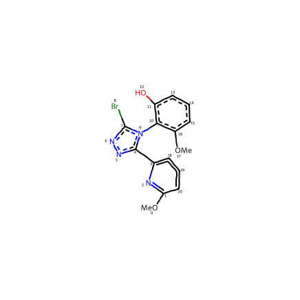 COC1=NC(c2nnc(Br)n2-c2c(O)cccc2OC)=C=C=C1